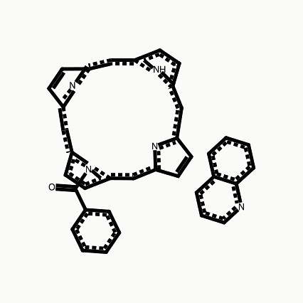 O=C(c1ccccc1)n1c2ccc1cc1nc(cc3ccc(cc4nc(c2)C=C4)[nH]3)C=C1.c1ccc2ncccc2c1